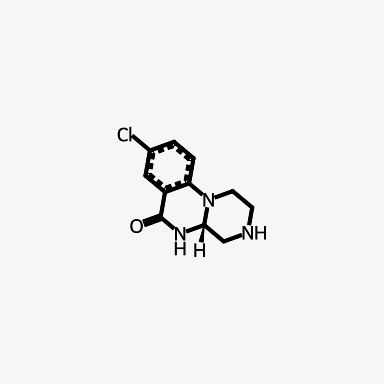 O=C1N[C@H]2CNCCN2c2ccc(Cl)cc21